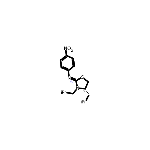 CC(C)C[C@H]1CS/C(=N\c2ccc([N+](=O)[O-])cc2)N1CC(C)C